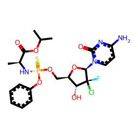 CC(C)OC(=O)[C@H](C)N[P@](=S)(OC[C@H]1O[C@@H](n2ccc(N)nc2=O)[C@](F)(Cl)[C@@H]1O)Oc1ccccc1